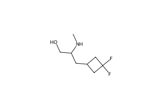 CNC(CO)CC1CC(F)(F)C1